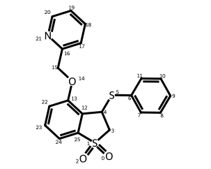 O=S1(=O)CC(Sc2ccccc2)c2c(OCc3ccccn3)cccc21